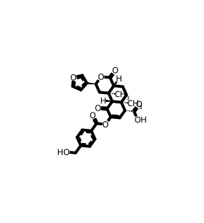 C[C@@]12CC[C@H]3C(=O)O[C@H](c4ccoc4)C[C@]3(C)[C@H]1C(=O)C(OC(=O)c1ccc(CO)cc1)=C[C@H]2C(=O)O